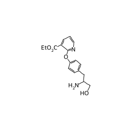 CCOC(=O)c1cccnc1Oc1ccc(CC(N)CO)cc1